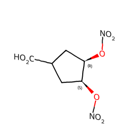 O=C(O)C1C[C@H](O[N+](=O)[O-])[C@H](O[N+](=O)[O-])C1